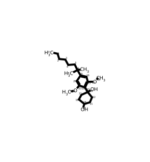 CCCCCCC(C)(C)c1cc(OC)c(C2(O)CCC(O)CC2)c(OC)c1